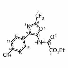 CCOC(=O)C(=O)Nc1oc(C(F)(F)F)nc1-c1ccc(Cl)cc1